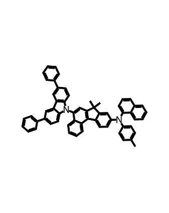 Cc1ccc(N(c2ccc3c(c2)C(C)(C)c2cc(-n4c5ccc(-c6ccccc6)cc5c5cc(-c6ccccc6)ccc54)c4ccccc4c2-3)c2cccc3ccccc23)cc1